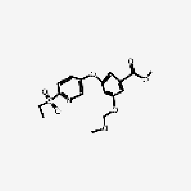 CCS(=O)(=O)c1ccc(Oc2cc(OCOC)cc(C(=O)OC)c2)cn1